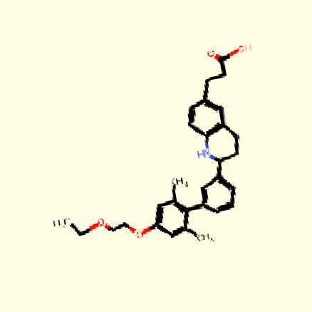 CCOCCOc1cc(C)c(-c2cccc(C3CCc4cc(CCC(=O)O)ccc4N3)c2)c(C)c1